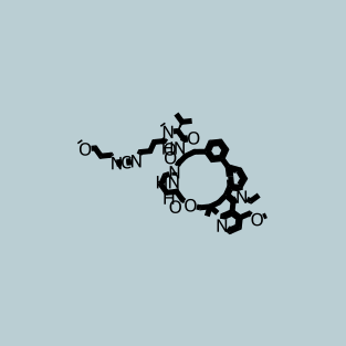 CCn1c(-c2cnccc2COC)c2c3cc(ccc31)-c1cccc(c1)C[C@H](NC(=O)[C@H](C(C)C)N(C)C(=O)CCCN=C=NCCCOC)C(=O)N1CCC[C@H](N1)C(=O)OCC(C)(C)C2